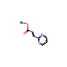 CC(C)(C)OC(=O)/C=C/c1ncccn1